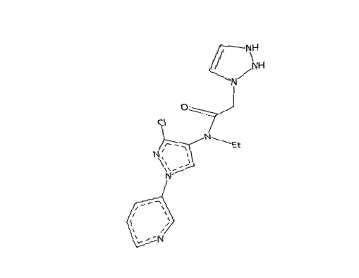 CCN(C(=O)CN1C=CNN1)c1cn(-c2cccnc2)nc1Cl